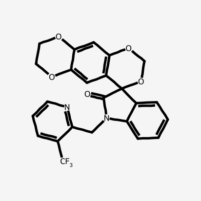 O=C1N(Cc2ncccc2C(F)(F)F)c2ccccc2C12OCOc1cc3c(cc12)OCCO3